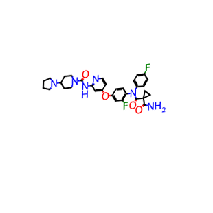 NC(=O)C1(C(=O)N(c2ccc(F)cc2)c2ccc(Oc3ccnc(NC(=O)N4CCC(N5CCCC5)CC4)c3)cc2F)CC1